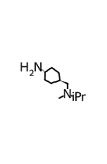 CC(C)N(C)C[C@H]1CC[C@H](N)CC1